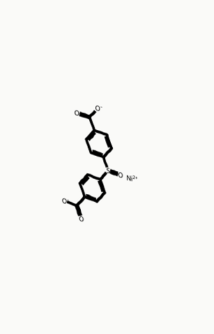 O=C([O-])c1ccc(S(=O)c2ccc(C(=O)[O-])cc2)cc1.[Ni+2]